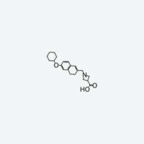 O=C(O)C1CN(CC2=Cc3ccc(OC4CCCCC4)cc3CC2)C1